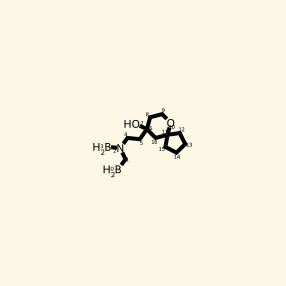 BCN(B)CCC1(O)CCOC2(CCCC2)C1